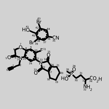 C#CCN1C(=O)COc2cc(F)c(N3C(=O)C4=C(CCCC4)C3=O)cc21.CP(=O)(O)CCC(N)C(=O)O.N#Cc1cc(Br)c(O)c(Br)c1